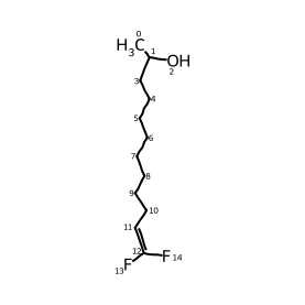 CC(O)CCCCCCCCC=C(F)F